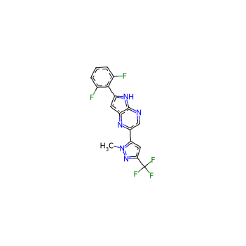 Cn1nc(C(F)(F)F)cc1-c1cnc2[nH]c(-c3c(F)cccc3F)cc2n1